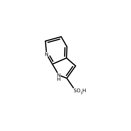 O=S(=O)(O)c1cc2cccnc2[nH]1